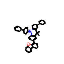 CC1(C)c2cc(-c3ccccc3)ccc2N(c2ccc(-c3ccccc3)cc2)c2ccc(-c3cccc4c3oc3ccccc34)cc21